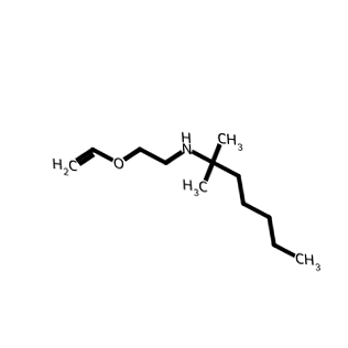 C=COCCNC(C)(C)CCCCC